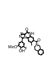 COc1cc(-c2nnc3c(=O)[nH]c4cc(C(=O)N5CCc6ccccc6C5)c(C)cc4n23)cc(F)c1O